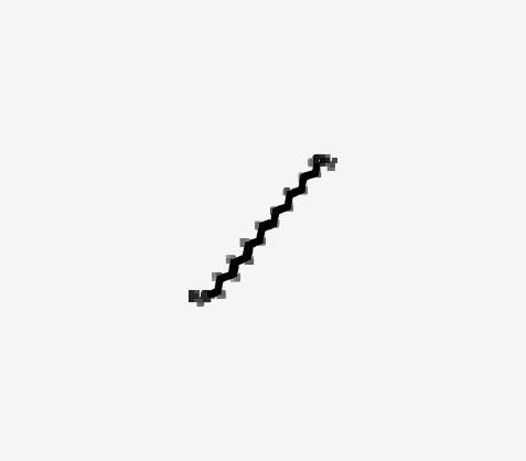 [CH2]CCCCCCC=CCC=CC=CCCC